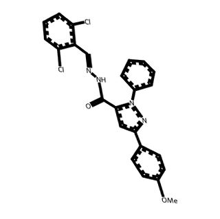 COc1ccc(-c2cc(C(=O)N/N=C/c3c(Cl)cccc3Cl)n(-c3ccccc3)n2)cc1